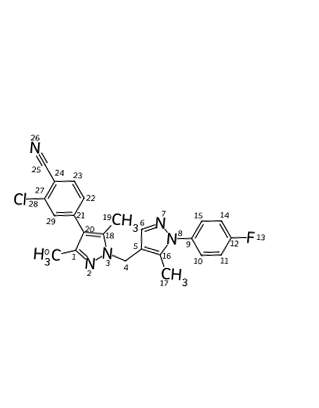 Cc1nn(Cc2cnn(-c3ccc(F)cc3)c2C)c(C)c1-c1ccc(C#N)c(Cl)c1